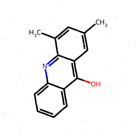 Cc1cc(C)c2nc3ccccc3c(O)c2c1